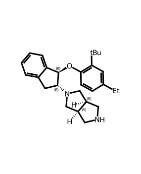 CCc1ccc(O[C@@H]2c3ccccc3C[C@H]2N2C[C@H]3CNC[C@H]3C2)c(C(C)(C)C)c1